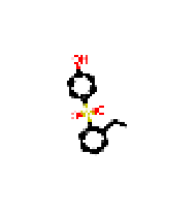 CCc1ccccc1S(=O)(=O)c1ccc(O)cc1